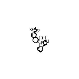 CS(=O)(=O)c1ccc2c(c1)[C@H](O)[C@H](C1c3ccccc3-c3cncn31)CC2